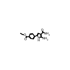 CCOC(=O)c1ccc(-c2cc(C(N)=O)c(N)[nH]2)cc1